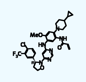 C=CC(=O)Nc1cc(Nc2cc(N3OCC[C@@H]3c3ccc(Cl)c(C(F)(F)F)c3)ncn2)c(OC)cc1N1CCC(C2CC2)CC1